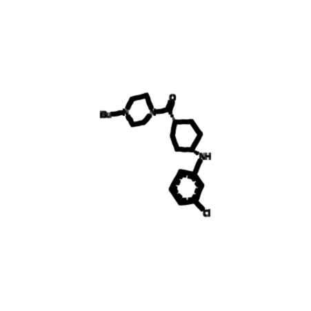 CCC(C)N1CCN(C(=O)[C@H]2CC[C@@H](Nc3cccc(Cl)c3)CC2)CC1